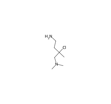 CN(C)CC(C)(Cl)CCN